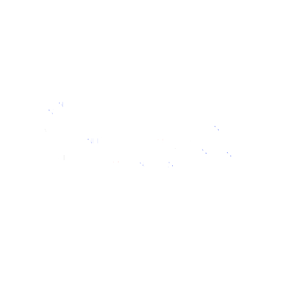 CC(COc1cccc(N2CCN(c3ncc(C(F)(F)F)cn3)CC2=O)n1)Nc1cn[nH]c(=O)c1C(F)(F)F